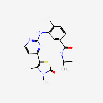 Cc1ccc(C(=O)NC(C)C)cc1Nc1nccc(-c2sc(=O)n(C)c2C)n1